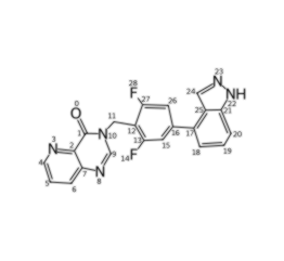 O=c1c2ncccc2ncn1Cc1c(F)cc(-c2cccc3[nH]ncc23)cc1F